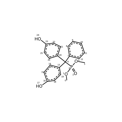 COP(=O)(OC)C(c1ccccc1)(c1ccc(O)cc1)c1ccc(O)cc1